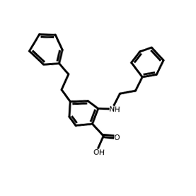 O=C(O)c1ccc(CCc2ccccc2)cc1NCCc1ccccc1